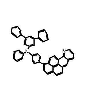 c1ccc(-c2cc(-c3ccccc3)cc(N(c3ccccc3)c3ccc(-c4ccc5ccc6cc7cccnc7c7ccc4c5c67)cc3)c2)cc1